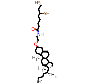 CC(C)CCC[C@@H](C)[C@H]1CCC2C3CC=C4C[C@H](OCCNC(=O)CCCCC(S)CCS)CC[C@]4(C)C3CC[C@@]21C